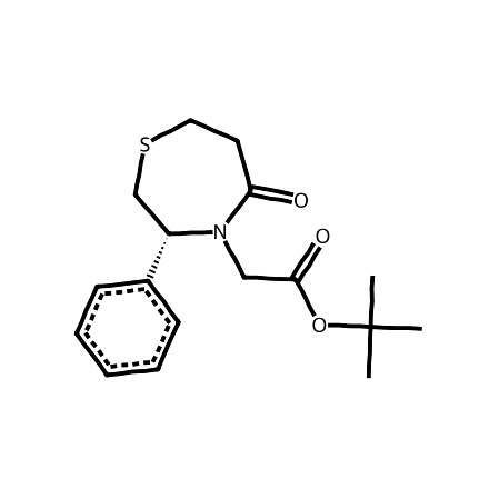 CC(C)(C)OC(=O)CN1C(=O)CCSC[C@H]1c1ccccc1